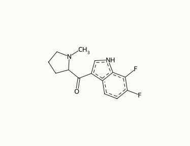 CN1CCCC1C(=O)c1c[nH]c2c(F)c(F)ccc12